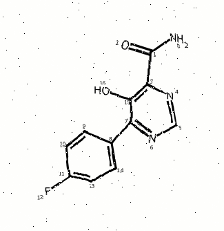 NC(=O)c1ncnc(-c2ccc(F)cc2)c1O